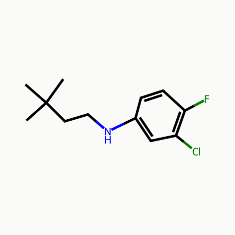 CC(C)(C)CCNc1ccc(F)c(Cl)c1